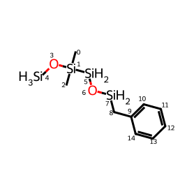 C[Si](C)(O[SiH3])[SiH2]O[SiH2]Cc1ccccc1